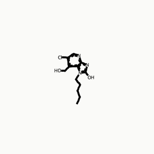 CCCCCn1c(O)nc2ncc(Cl)c(CO)c21